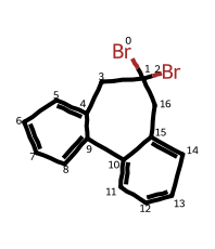 BrC1(Br)Cc2ccccc2-c2ccccc2C1